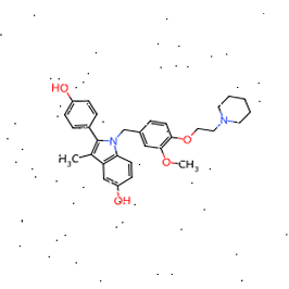 COc1cc(Cn2c(-c3ccc(O)cc3)c(C)c3cc(O)ccc32)ccc1OCCN1CCCCC1